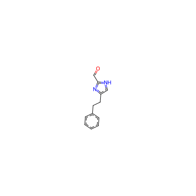 O=Cc1nc(CCc2ccccc2)c[nH]1